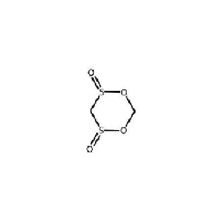 O=S1CS(=O)OCO1